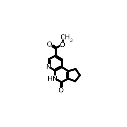 COC(=O)c1cnc2[nH]c(=O)c3c(c2c1)CCC3